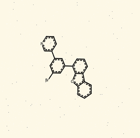 Brc1cc(-c2cccnc2)cc(-c2cccc3c2oc2ccccc23)c1